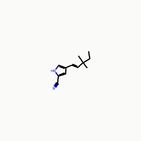 CCC(C)(C)/C=C/c1c[nH]c(C#N)c1